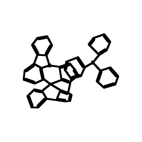 c1ccc(N(c2ccccc2)c2cccc(-c3cccc4c3C3(c5ccccc5-4)c4ccccc4-n4c5ccccc5c5cccc3c54)c2)cc1